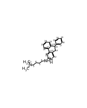 CN(C)CCCCNC1N=C2C(=CN1)CC(c1ccccc1)c1ccccc12